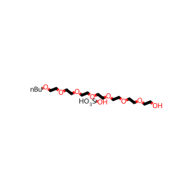 CCCCOCCOCCOCCOCCOCCOCCOCCO.O=S(=O)(O)O